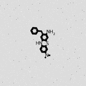 CN(C)c1ccc2c(c1)Sc1cc(N)c(Cc3ccccc3)cc1N2